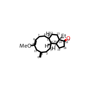 C=C1CC[C@@H]2[C@@H](CC/C=C(/OC)C1)CC[C@]1(CC)C(=O)CC[C@@H]21